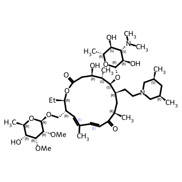 CC[C@H]1OC(=O)C[C@@H](O)[C@H](C)[C@@H](O[C@@H]2O[C@H](C)[C@@H](O)[C@H](N(C)C)[C@H]2O)[C@@H](CCN2C[C@H](C)C[C@H](C)C2)C[C@@H](C)C(=O)/C=C/C(C)=C/[C@@H]1CO[C@@H]1O[C@H](C)[C@@H](O)[C@@H](OC)[C@H]1OC